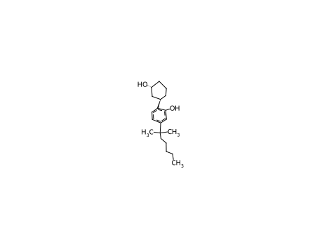 CCCCCC(C)(C)c1ccc([C@@H]2CCC[C@@H](O)C2)c(O)c1